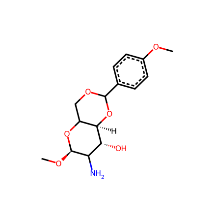 COc1ccc(C2OCC3O[C@H](OC)C(N)[C@@H](O)[C@@H]3O2)cc1